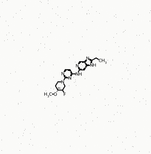 CCc1nc2cnc(Nc3ccnc(N4CC[C@@H](OC)C(F)C4)n3)cc2[nH]1